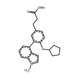 COC(=O)CCc1ccc(OC2CCCC2)c(-c2cccc3c2ccn3C)c1